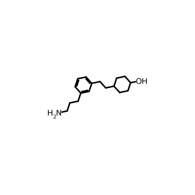 NCCCc1cccc(CCC2CCC(O)CC2)c1